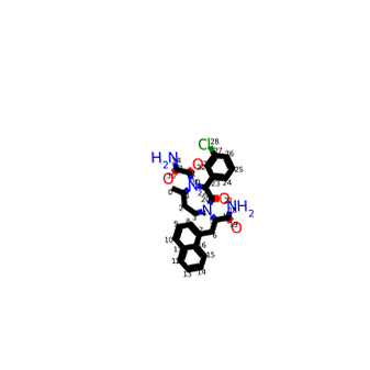 CC1CCN(C(Cc2cccc3ccccc23)C(N)=O)C(=O)C(c2cccc(Cl)c2)N1C(=O)C(N)=O